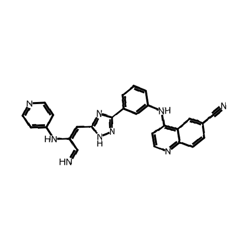 N#Cc1ccc2nccc(Nc3cccc(-c4n[nH]c(/C=C(\C=N)Nc5ccncc5)n4)c3)c2c1